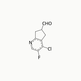 O=CC1Cc2ncc(F)c(Cl)c2C1